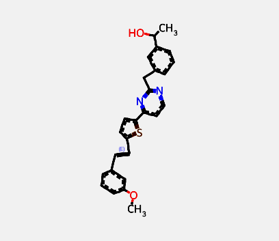 COc1cccc(/C=C/c2ccc(-c3ccnc(Cc4cccc(C(C)O)c4)n3)s2)c1